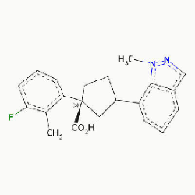 Cc1c(F)cccc1[C@]1(C(=O)O)CCC(c2cccc3cnn(C)c23)C1